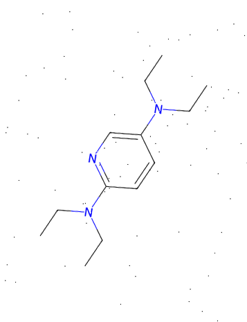 CCN(CC)c1ccc(N(CC)CC)nc1